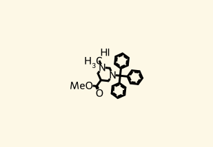 COC(=O)C1CN(C)CN(C(c2ccccc2)(c2ccccc2)c2ccccc2)C1.I